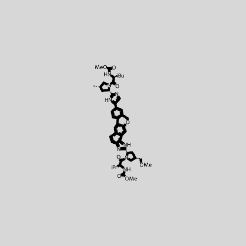 CCC(C)[C@H](NC(=O)OC)C(=O)N1C[C@@H](C)C[C@H]1c1ncc(-c2ccc3c(c2)COc2cc4c(ccc5nc([C@@H]6C[C@H](COC)CN6C(=O)C(NC(=O)OC)C(C)C)[nH]c54)cc2-3)[nH]1